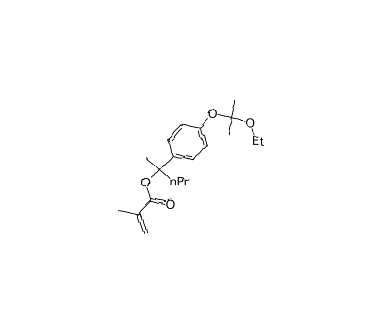 C=C(C)C(=O)OC(C)(CCC)c1ccc(OC(C)(C)OCC)cc1